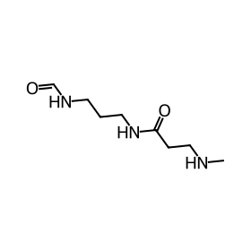 CNCCC(=O)NCCCNC=O